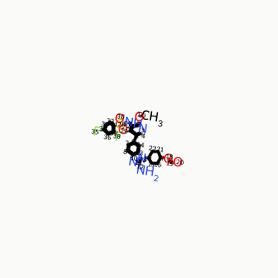 COc1ncc(-c2ccc3nc(N)n(C4CCC(OC=O)CC4)c3c2)cc1NS(=O)(=O)c1ccc(F)cc1F